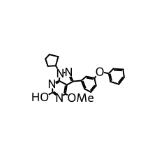 COc1nc(O)nc2c1c(-c1cccc(Oc3ccccc3)c1)nn2C1CCCC1